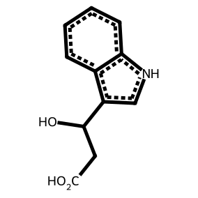 O=C(O)CC(O)c1c[nH]c2ccccc12